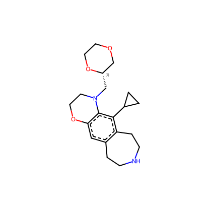 c1c2c(c(C3CC3)c3c1OCCN3C[C@H]1COCCO1)CCNCC2